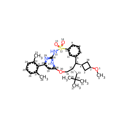 CO[C@H]1C[C@@H](C2c3cccc(c3)S(=O)(=O)Nc3nc(cc(-c4c(C)cccc4C)n3)OC[C@H]2CC(C)(C)C)C1